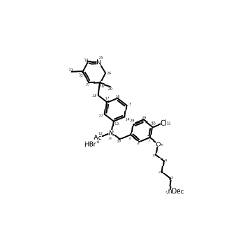 Br.CCCCCCCCCCCCCCOc1cc(CN(C(C)=O)c2cccc(CC3(C)C=C(C)C=NC3)c2)ccc1Cl